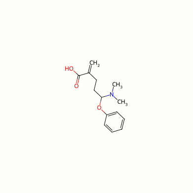 C=C(CCC(Oc1ccccc1)N(C)C)C(=O)O